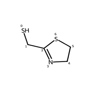 SCC1=NCCS1